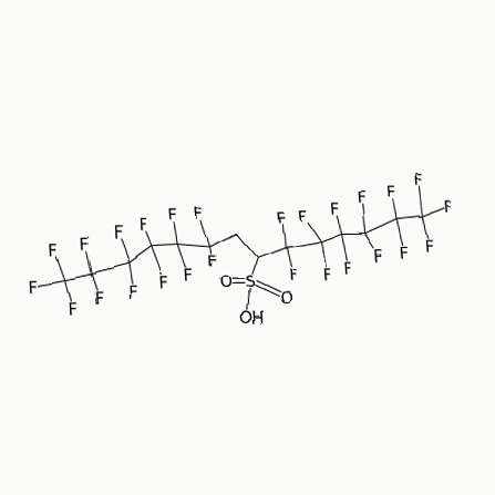 O=S(=O)(O)C(CC(F)(F)C(F)(F)C(F)(F)C(F)(F)C(F)(F)C(F)(F)F)C(F)(F)C(F)(F)C(F)(F)C(F)(F)C(F)(F)C(F)(F)F